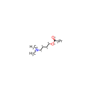 CC(C)C(=O)OCCCCN(C)C